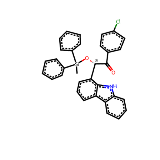 C[Si](O[C@H](C(=O)c1ccc(Cl)cc1)c1cccc2c1[nH]c1ccccc12)(c1ccccc1)c1ccccc1